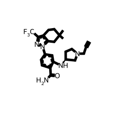 C#CCN1CC[C@H](Nc2cc(-n3nc(C(F)(F)F)c4c3CC(C)(C)CC4)ccc2C(N)=O)C1